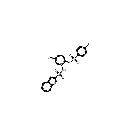 O=S(=O)(Nc1ccc(Cl)cc1NS(=O)(=O)c1cc2ccccc2o1)c1ccc(C(F)(F)F)cc1